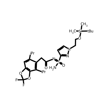 CC(C)c1cc2c(c(C(C)C)c1CC(=O)N=S(N)(=O)c1ccn(CCO[Si](C)(C)C(C)(C)C)n1)OC(F)(F)O2